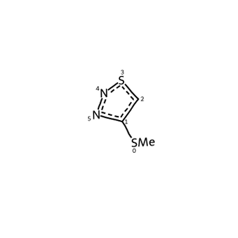 [CH2]Sc1csnn1